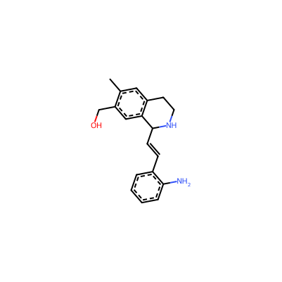 Cc1cc2c(cc1CO)C(/C=C/c1ccccc1N)NCC2